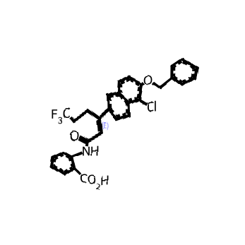 O=C(/C=C(\CCC(F)(F)F)c1ccc2c(Cl)c(OCc3ccccc3)ccc2c1)Nc1ccccc1C(=O)O